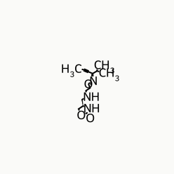 CC#C/C(=N\OCCNC[C@@H]1COC(=O)N1)C(C)C